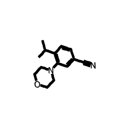 CC(C)c1ccc(C#N)cc1N1CCOCC1